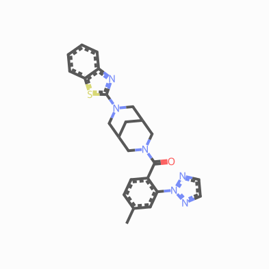 Cc1ccc(C(=O)N2CC3CC(C2)CN(c2nc4ccccc4s2)C3)c(-n2nccn2)c1